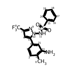 Cc1ccc(-c2cc(C(F)(F)F)nn2NS(=O)(=O)c2ccccc2)cc1N